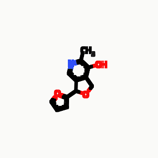 Cc1ncc2c(c1O)COC2c1ccco1